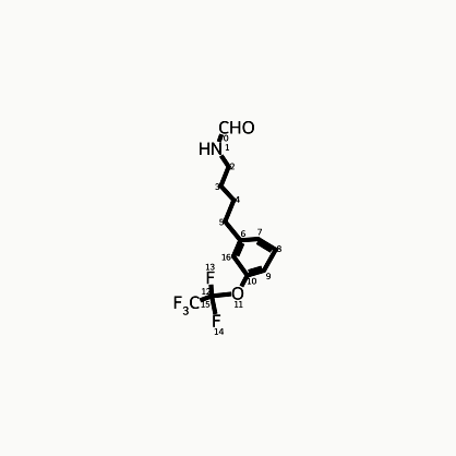 O=CNCCCCc1cccc(OC(F)(F)C(F)(F)F)c1